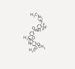 CCN1CCN(Cc2ccc(NC(=O)c3ccc(C)c(Oc4ncnc5cc(OC)c(OC)cc45)c3)cc2C(F)(F)F)CC1